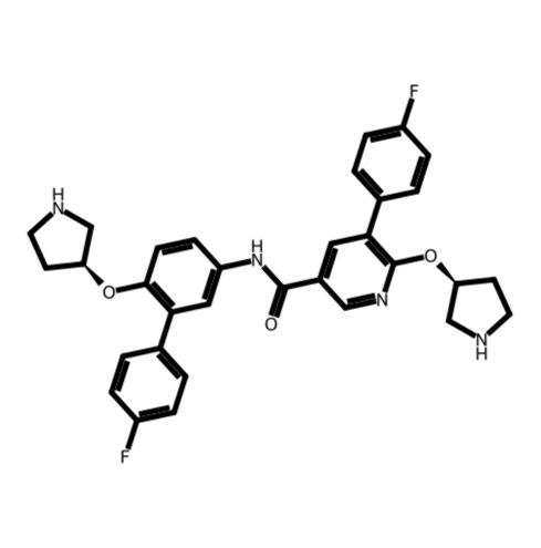 O=C(Nc1ccc(O[C@H]2CCNC2)c(-c2ccc(F)cc2)c1)c1cnc(O[C@H]2CCNC2)c(-c2ccc(F)cc2)c1